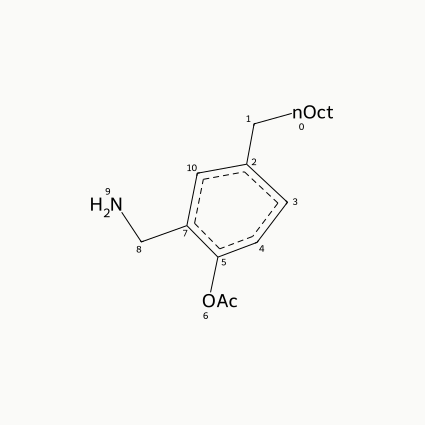 CCCCCCCCCc1ccc(OC(C)=O)c(CN)c1